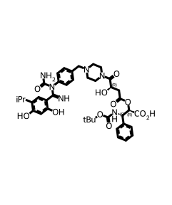 CC(C)c1cc(C(=N)N(C(N)=O)c2ccc(CN3CCN(C(=O)[C@H](O)CC(=O)O[C@@H](C(=O)O)[C@@H](NC(=O)OC(C)(C)C)c4ccccc4)CC3)cc2)c(O)cc1O